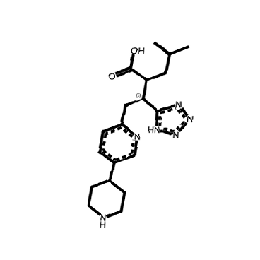 CC(C)CC(C(=O)O)[C@H](Cc1ccc(C2CCNCC2)cn1)c1nnn[nH]1